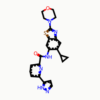 O=C(Nc1cc2sc(N3CCOCC3)nc2cc1C1CC1)c1cccc(-c2ccn[nH]2)n1